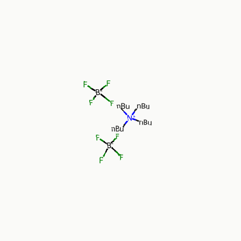 CCCC[N+](CCCC)(CCCC)CCCC.F[B-](F)(F)F.F[B-](F)(F)F